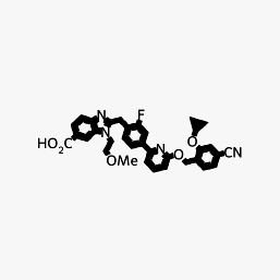 COCCn1c(Cc2ccc(-c3cccc(OCc4ccc(C#N)cc4OC4CC4)n3)cc2F)nc2ccc(C(=O)O)cc21